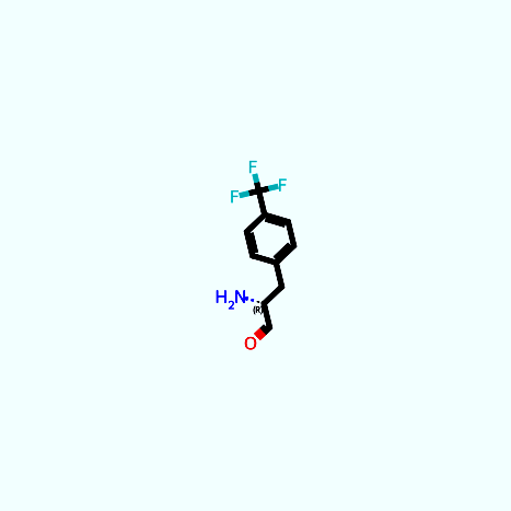 N[C@@H](C=O)Cc1ccc(C(F)(F)F)cc1